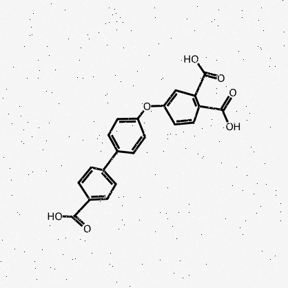 O=C(O)c1ccc(-c2ccc(Oc3ccc(C(=O)O)c(C(=O)O)c3)cc2)cc1